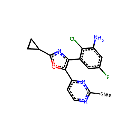 CSc1nccc(-c2oc(C3CC3)nc2-c2cc(F)cc(N)c2Cl)n1